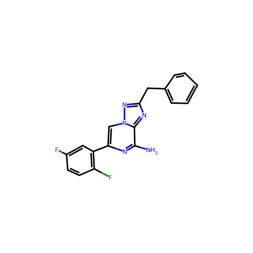 Nc1nc(-c2cc(F)ccc2F)cn2nc(Cc3ccccc3)nc12